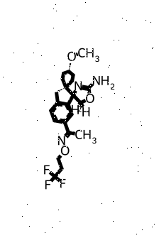 [2H]C1([2H])OC(N)=NC12c1cc(/C(C)=N/OCCC(F)(F)F)ccc1C[C@]21CC[C@@H](OC)CC1